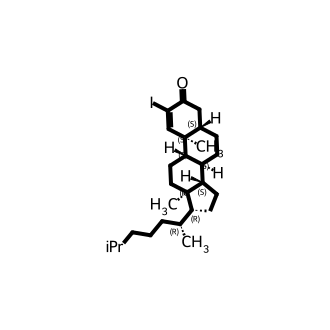 CC(C)CCC[C@@H](C)[C@H]1CC[C@H]2[C@@H]3CC[C@H]4CC(=O)C(I)=C[C@]4(C)[C@H]3CC[C@]12C